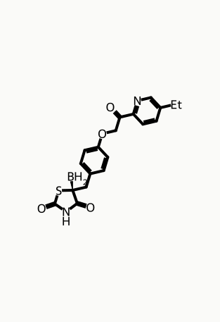 B[C@]1(Cc2ccc(OCC(=O)c3ccc(CC)cn3)cc2)SC(=O)NC1=O